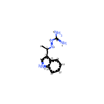 CC(N=NC(=N)N)c1c[nH]c2ccccc12